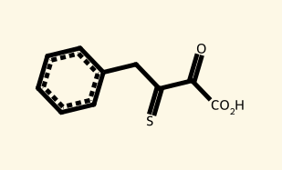 O=C(O)C(=O)C(=S)Cc1ccccc1